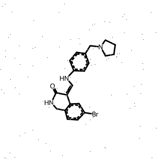 O=C1NCc2ccc(Br)cc2C1=CNc1ccc(CN2CCCC2)cc1